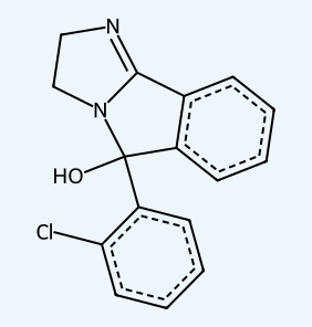 OC1(c2ccccc2Cl)c2ccccc2C2=NCCN21